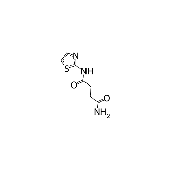 NC(=O)CCC(=O)Nc1nccs1